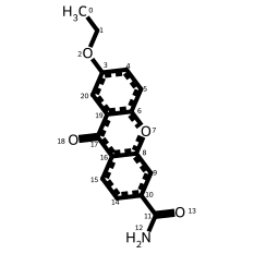 CCOc1ccc2oc3cc(C(N)=O)ccc3c(=O)c2c1